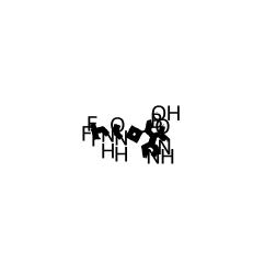 O=C(NCC(F)(F)F)N[C@H]1C[C@@H](C2=CB(O)Oc3cnc4[nH]ccc4c32)C1